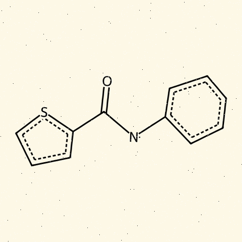 O=C([N]c1ccccc1)c1cccs1